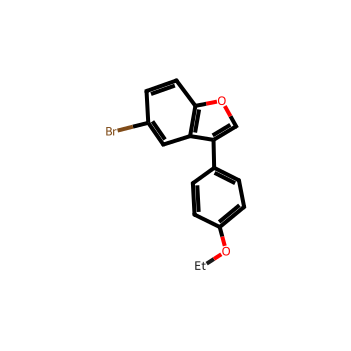 CCOc1ccc(-c2coc3ccc(Br)cc23)cc1